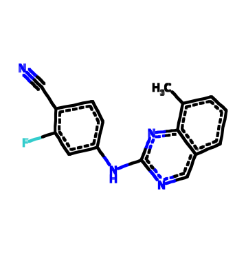 Cc1cccc2cnc(Nc3ccc(C#N)c(F)c3)nc12